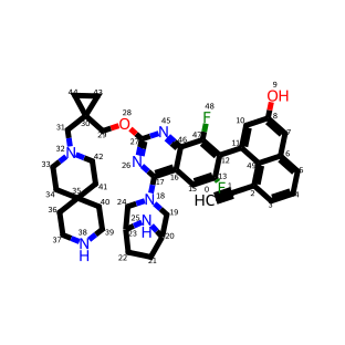 C#Cc1cccc2cc(O)cc(-c3c(F)cc4c(N5CC6CCC(C5)N6)nc(OCC5(CN6CCC7(CCNCC7)CC6)CC5)nc4c3F)c12